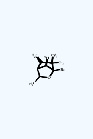 [3H]C1C2C(=C)C(C)(C)C1(C(C)(C)C)OC2C